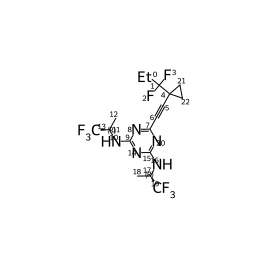 CCC(F)(F)C1(C#Cc2nc(N[C@H](C)C(F)(F)F)nc(N[C@H](C)C(F)(F)F)n2)CC1